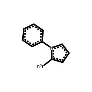 CCCc1cccn1-c1ccccc1